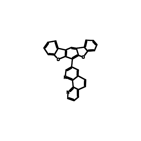 c1cnc2c(c1)ccc1cc(-c3c4oc5ccccc5c4cc4c3oc3ccccc34)cnc12